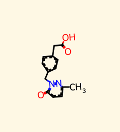 Cc1ccc(=O)n(Cc2ccc(CC(=O)O)cc2)n1